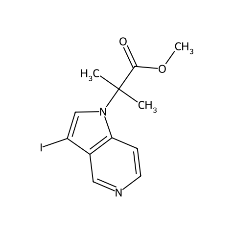 COC(=O)C(C)(C)n1cc(I)c2cnccc21